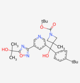 CC(C)(C)OC(=O)N1CC(C)(C(O)(c2ccc(C(C)(C)C)cc2)c2cncc(-c3noc(C(C)(C)O)n3)c2)C1